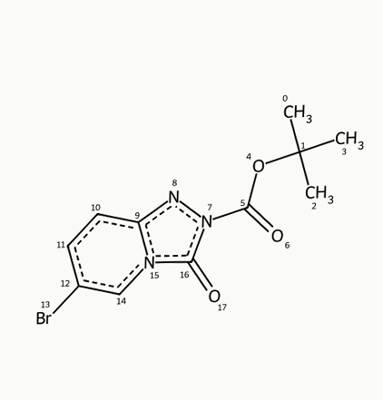 CC(C)(C)OC(=O)n1nc2ccc(Br)cn2c1=O